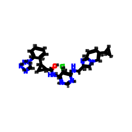 O=C(Nc1ncnc(NCc2cn3cc(C4CC4)ccc3n2)c1Cl)C1CC1c1ccccc1-n1cnnn1